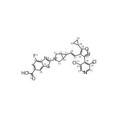 O=C(O)c1cc(F)c2nc(N3CC4C(C=Cc5c(-c6c(Cl)cncc6Cl)noc5C5CC5)C4C3)sc2c1